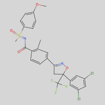 COc1ccc(S(C)(=O)=NC(=O)c2ccc(C3=NOC(c4cc(Cl)cc(Cl)c4)(C(F)(F)F)C3)cc2C)cc1